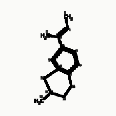 C/C=C(\N)c1ccc2c(c1)CN(C)CC2